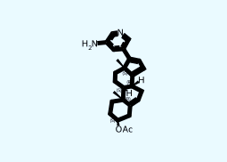 CC(=O)O[C@H]1CC[C@@]2(C)C(=CC[C@H]3C4=CC=C(c5cncc(N)c5)[C@@]4(C)CC[C@@H]32)C1